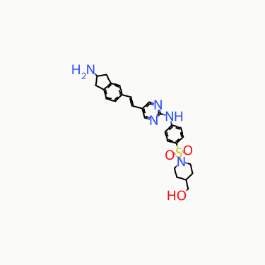 NC1Cc2ccc(C=Cc3cnc(Nc4ccc(S(=O)(=O)N5CCC(CO)CC5)cc4)nc3)cc2C1